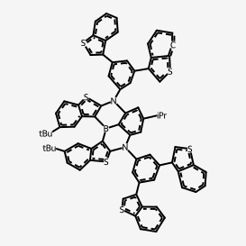 CC(C)c1cc2c3c(c1)N(c1cc(-c4csc5ccccc45)cc(-c4csc5ccccc45)c1)c1sc4ccc(C(C)(C)C)cc4c1B3c1c(sc3ccc(C(C)(C)C)cc13)N2c1cc(-c2csc3ccccc23)cc(-c2csc3ccccc23)c1